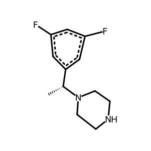 C[C@H](c1cc(F)cc(F)c1)N1CCNCC1